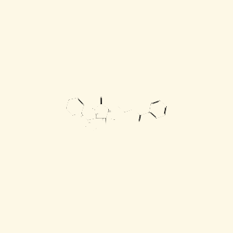 C[C@]1(O)[C@@H](CCOC(=O)c2ccccc2)C(=O)N[C@]1(CO)[C@H](O)[C@@H]1C=CCCC1